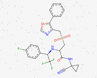 N#CC1(NC(=O)C(CS(=O)(=O)Cc2ncoc2-c2ccccc2)N[C@H](c2ccc(F)cc2)C(F)(F)F)CC1